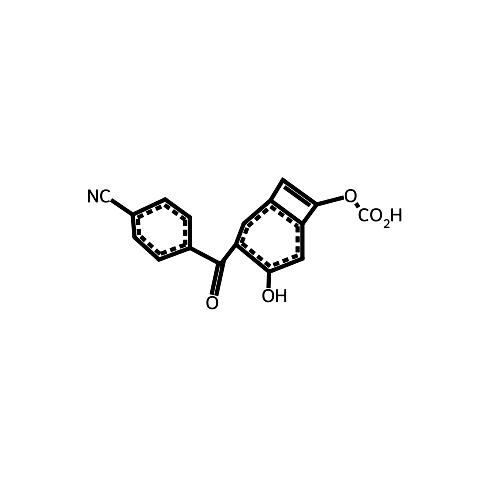 N#Cc1ccc(C(=O)c2cc3c(cc2O)C(OC(=O)O)=C3)cc1